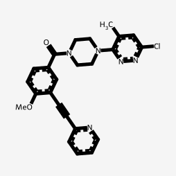 COc1ccc(C(=O)N2CCN(c3nnc(Cl)cc3C)CC2)cc1C#Cc1ccccn1